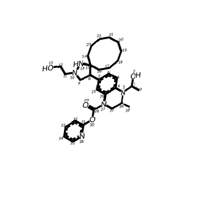 CC(O)N1c2ccc(C3CN(CCO)NC34CCCCCCCCC4)cc2N(C(=O)Oc2ccccn2)C[C@@H]1C